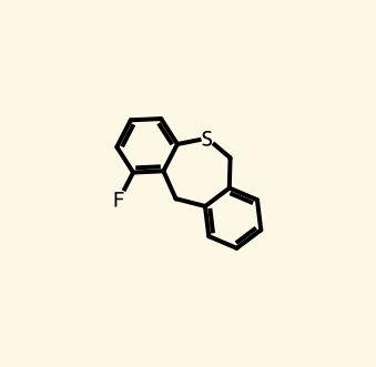 Fc1cccc2c1Cc1ccccc1CS2